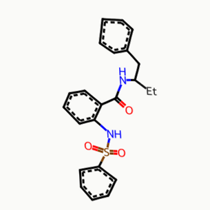 CCC(Cc1ccccc1)NC(=O)c1ccccc1NS(=O)(=O)c1ccccc1